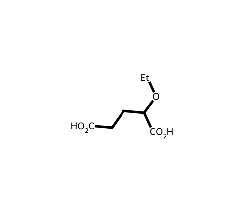 CCOC(CCC(=O)O)C(=O)O